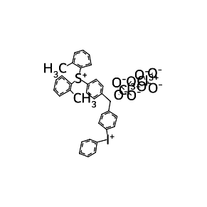 Cc1ccccc1[S+](c1ccc(Cc2ccc([I+]c3ccccc3)cc2)cc1)c1ccccc1C.[O-][Cl+3]([O-])([O-])[O-].[O-][Cl+3]([O-])([O-])[O-]